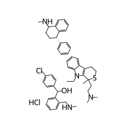 CCn1c2c(c3ccccc31)CCSC2(C)CCN(C)C.CNCc1ccccc1C(O)c1ccc(Cl)cc1.CN[C@@H]1CC[C@@H](c2ccccc2)c2ccccc21.Cl